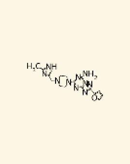 Cc1nc(CN2CCN(c3nc(N)n4nc(-c5ccco5)nc4n3)CC2)c[nH]1